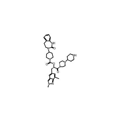 Cc1cc(C[C@@H](OC(=O)N2CCC(N3CCc4ccccc4NC3=O)CC2)C(=O)N2CCN(C3CCNCC3)CC2)cc2cn(C)nc12